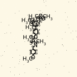 COc1ccc(C=NN(C)[PH](=S)C(C)Oc2ccc(CCN(CP(=O)(OC)OC)CP(=O)(OC)OC)cc2)cc1